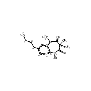 CCN1C(=O)C(C)(C)C(=O)N(C)c2cc(CCCO)ccc21